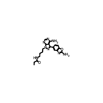 CCC(=O)NCCCCn1nc(-c2ccc3oc(N)nc3c2)c2c(N)ncnc21